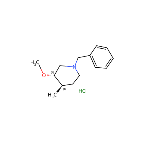 CO[C@@H]1CN(Cc2ccccc2)CC[C@H]1C.Cl